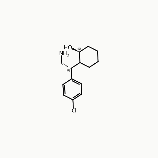 NC[C@@H](c1ccc(Cl)cc1)C1CCCC[C@@H]1O